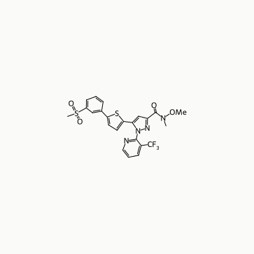 CON(C)C(=O)c1cc(-c2ccc(-c3cccc(S(C)(=O)=O)c3)s2)n(-c2ncccc2C(F)(F)F)n1